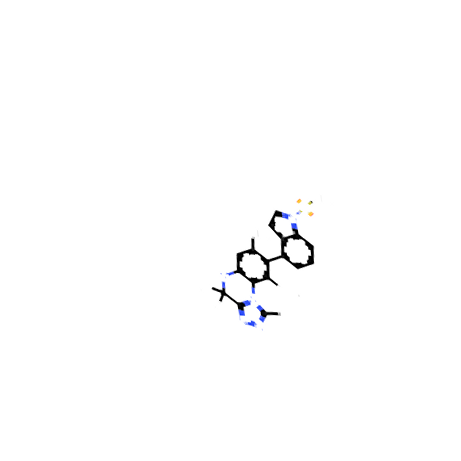 Cc1cc2c(c(C)c1-c1cccc3c1ccn3S(C)(=O)=O)-n1c(C)nnc1C(C)(C)N2